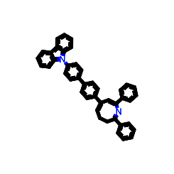 C1=C(c2ccccc2)\N=C(\c2ccccc2)CC\C=C/1c1ccc(-c2ccc(-n3c4ccccc4c4ccccc43)cc2)cc1